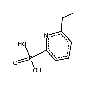 CCc1cccc(P(=O)(O)O)n1